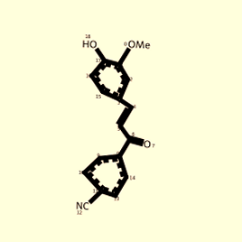 COc1cc(C=CC(=O)c2ccc(C#N)cc2)ccc1O